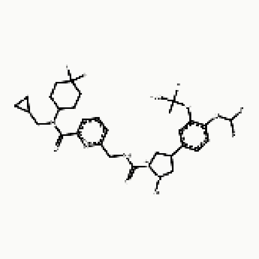 CC(=O)N1CC(c2ccc(OC(F)F)c(OC(C)(F)F)c2)C[C@@H]1C(=O)NCc1cccc(C(=O)N(CC2CC2)C2CCC(F)(F)CC2)n1